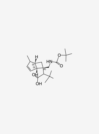 CC1C=C[C@@H]2[C@H]1C[C@]2(CNC(=O)OC(C)(C)C)C(C(=O)O)C(C)(C)C